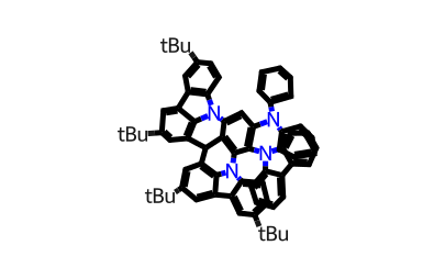 CC(C)(C)c1ccc2c(c1)c1cc(C(C)(C)C)cc3c1n2-c1cc(N(c2ccccc2)c2ccccc2)c(-n2c4ccccc4c4ccccc42)c2c1C3c1cc(C(C)(C)C)cc3c4cc(C(C)(C)C)ccc4n-2c13